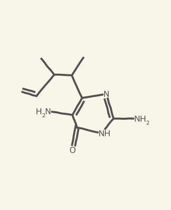 C=CC(C)C(C)c1nc(N)[nH]c(=O)c1N